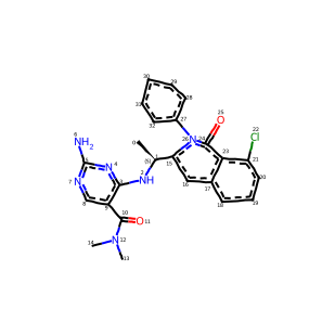 C[C@H](Nc1nc(N)ncc1C(=O)N(C)C)c1cc2cccc(Cl)c2c(=O)n1-c1ccccc1